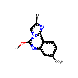 CCOc1nc2cc(C(=O)O)ccc2c2nc(C)cn12